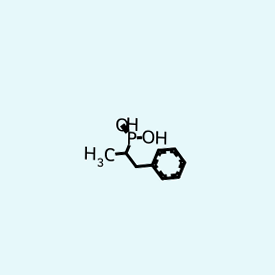 CC(Cc1ccccc1)[PH](=O)O